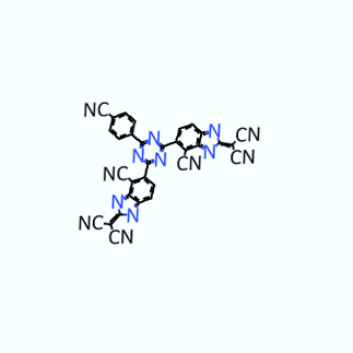 N#CC(C#N)=C1N=c2ccc(-c3nc(-c4ccc(C#N)cc4)nc(-c4ccc5c(c4C#N)=NC(=C(C#N)C#N)N=5)n3)c(C#N)c2=N1